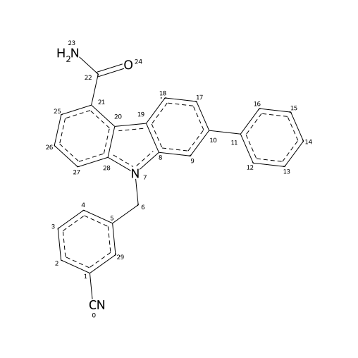 N#Cc1cccc(Cn2c3cc(-c4ccccc4)c[c]c3c3c(C(N)=O)cccc32)c1